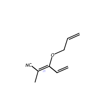 C=CCO/C(C=C)=C(/C)C#N